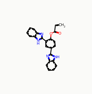 C=CC(=O)Oc1ccc(-c2nc3ccccc3[nH]2)cc1-c1nc2ccccc2[nH]1